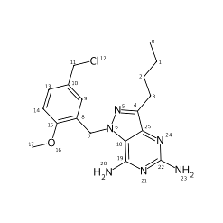 CCCCc1nn(Cc2cc(CCl)ccc2OC)c2c(N)nc(N)nc12